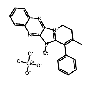 CCn1c2[n+](c3nc4ccccc4nc31)CCC(C)=C2c1ccccc1.[O-][Cl+3]([O-])([O-])[O-]